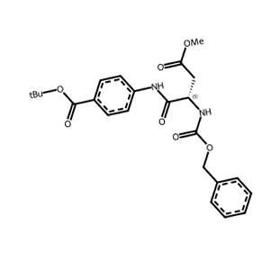 COC(=O)C[C@H](NC(=O)OCc1ccccc1)C(=O)Nc1ccc(C(=O)OC(C)(C)C)cc1